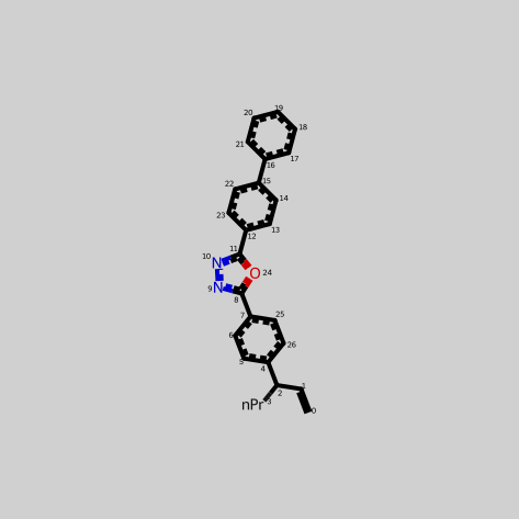 C=CC(CCC)c1ccc(-c2nnc(-c3ccc(-c4ccccc4)cc3)o2)cc1